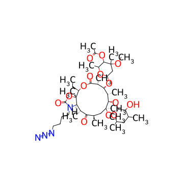 CC[C@H]1OC(=O)[C@H](C)[C@@H](OC2CC(C)(OC)C(OC(C)=O)C(C)O2)[C@H](C)[C@@H](OC2OC(C)CC(C)C2O)[C@@](C)(OC)C[C@@H](C)C(=O)[C@H](C)[C@H]2N(CCCCN=[N+]=[N-])C(=O)O[C@]12C